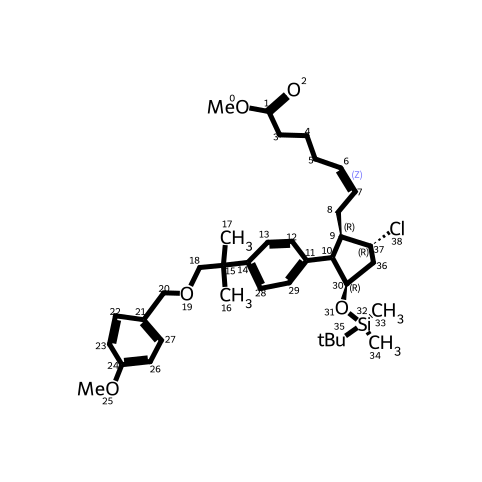 COC(=O)CCC/C=C\C[C@@H]1C(c2ccc(C(C)(C)COCc3ccc(OC)cc3)cc2)[C@H](O[Si](C)(C)C(C)(C)C)C[C@H]1Cl